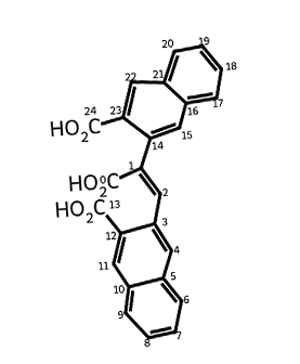 O=C(O)C(=Cc1cc2ccccc2cc1C(=O)O)c1cc2ccccc2cc1C(=O)O